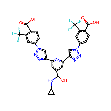 O=C(O)c1ccc(-n2cc(-c3cc(C(O)NC4CC4)cc(-c4cn(-c5ccc(C(=O)O)c(C(F)(F)F)c5)nn4)n3)nn2)cc1C(F)(F)F